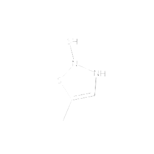 CC1=CNN(S)S1